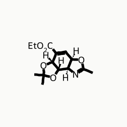 CCOC(=O)C1=C[C@H]2OC(C)=N[C@H]2[C@@H]2OC(C)(C)O[C@H]12